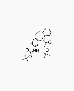 CC(C)(C)OCC(=O)N1c2ccccc2CCc2ccc(NC(=O)OC(C)(C)C)cc21